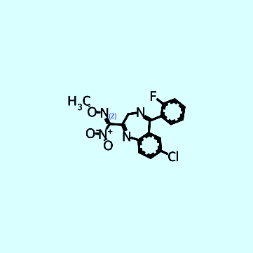 CO/N=C(/C1=Nc2ccc(Cl)cc2C(c2ccccc2F)=NC1)[N+](=O)[O-]